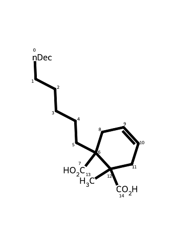 CCCCCCCCCCCCCCCC1(C(=O)O)CC=CCC1(C)C(=O)O